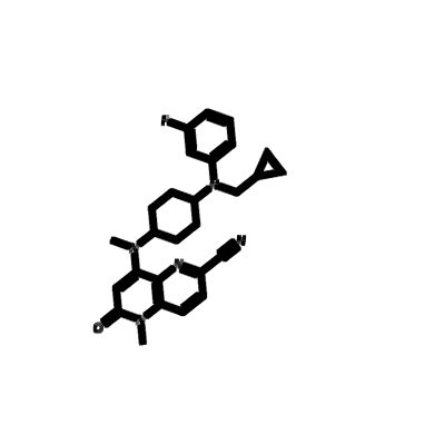 CN(c1cc(=O)n(C)c2ccc(C#N)nc12)C1CCC(N(CC2CC2)c2cccc(F)c2)CC1